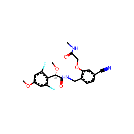 CNC(=O)COc1cc(C#N)ccc1CNC(=O)[C@@H](OC)c1c(F)cc(OC)cc1F